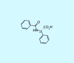 O=C(N[C@H](C(=O)O)c1ccccc1)c1ccccc1